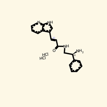 Cl.Cl.N[C@H](CNC(=O)/C=C/c1c[nH]c2ncccc12)c1ccccc1